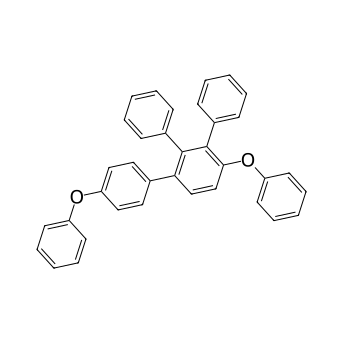 c1ccc(Oc2ccc(-c3ccc(Oc4ccccc4)c(-c4ccccc4)c3-c3ccccc3)cc2)cc1